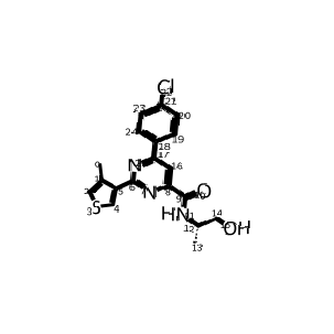 Cc1cscc1-c1nc(C(=O)N[C@@H](C)CO)cc(-c2ccc(Cl)cc2)n1